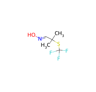 CC(C)(C=NO)SC(F)(F)F